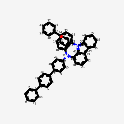 c1ccc(-c2ccc(-c3ccc(N(c4ccccc4)c4cccc5c6ccccc6n(-c6ccc(-c7ccccc7)cc6)c45)cc3)cc2)cc1